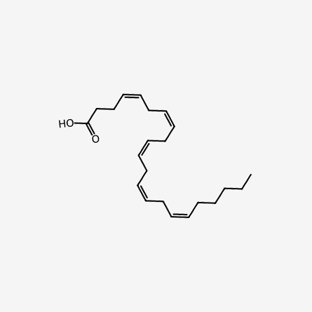 CCCCC/C=C\C/C=C\C/C=C\C/C=C\C/C=C\CCC(=O)O